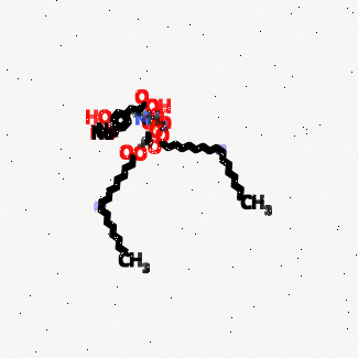 CCCCCCCC/C=C\CCCCCCCC(=O)OC[C@H](COP(=O)([O-])[O-])OC(=O)CCCCCCC/C=C\CCCCCCCC.N[C@@H](Cc1ccc(O)c(O)c1)C(=O)O.[Na+].[Na+]